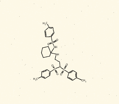 Cc1ccc(S(=O)(=O)NC2(NCCN(S(=O)(=O)c3ccc(C)cc3)S(=O)(=O)c3ccc(C)cc3)CCCCC2)cc1